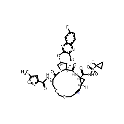 CCc1nc2ccc(F)cc2nc1O[C@@H]1C[C@H]2C(=O)N[C@]3(C(=O)NS(=O)(=O)C4(C)CC4)C[C@H]3/C=C\CCCCC[C@H](NC(=O)c3cc(C)on3)C(=O)N2C1